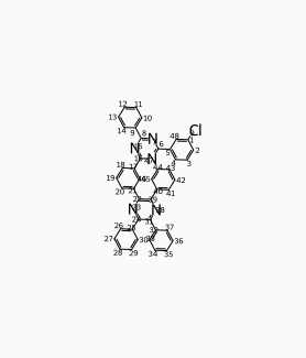 Clc1cccc(-c2nc(-c3ccccc3)nc(-c3cccc(-c4nc(-c5ccccc5)c(-c5ccccc5)nc4-c4ccccc4)c3)n2)c1